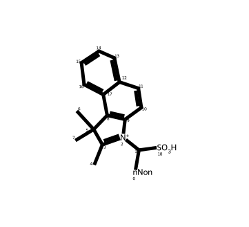 CCCCCCCCCC([N+]1=C(C)C(C)(C)c2c1ccc1ccccc21)S(=O)(=O)O